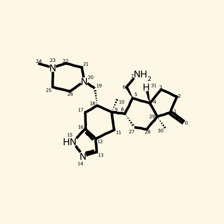 C=C1CC[C@H]2[C@H](CN)[C@@H]([C@@]3(C)Cc4cn[nH]c4C[C@@H]3CN3CCN(C)CC3)CC[C@]12C